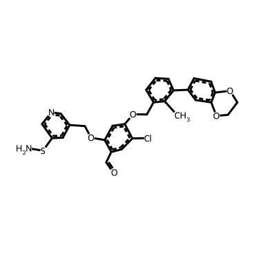 Cc1c(COc2cc(OCc3cncc(SN)c3)c(C=O)cc2Cl)cccc1-c1ccc2c(c1)OCCO2